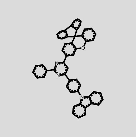 c1ccc(-c2nc(-c3ccc(-n4c5ccccc5c5ccccc54)cc3)cc(-c3ccc4c(c3)Oc3ccccc3C43c4ccccc4-c4ccccc43)n2)cc1